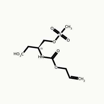 C=CCOC(=O)N[C@H](COS(C)(=O)=O)CC(=O)O